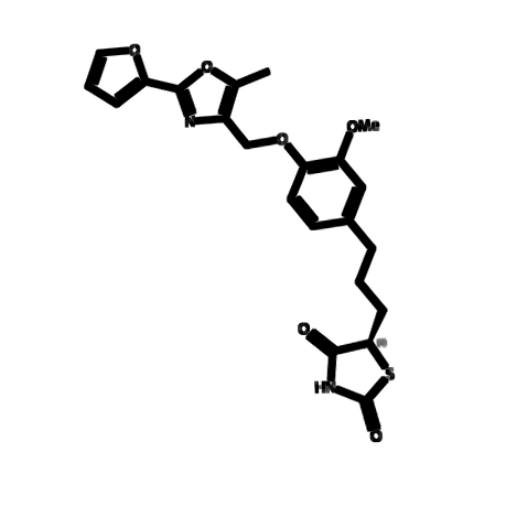 COc1cc(CCC[C@H]2SC(=O)NC2=O)ccc1OCc1nc(-c2ccco2)oc1C